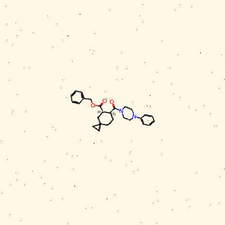 O=C(OCc1ccccc1)[C@@H]1CC2(CC[C@@H]1C(=O)N1CCN(c3ccccc3)CC1)CC2